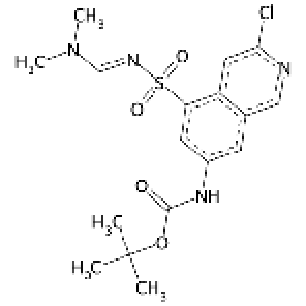 CN(C)/C=N/S(=O)(=O)c1cc(NC(=O)OC(C)(C)C)cc2cnc(Cl)cc12